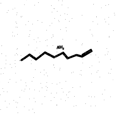 [AlH3].[CH2]CCCCCCCC=C